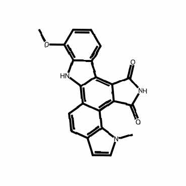 COc1cccc2c1[nH]c1c3ccc4ccn(C)c4c3c3c(c21)C(=O)NC3=O